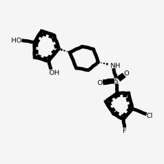 O=S(=O)(N[C@H]1CC[C@@H](c2ccc(O)cc2O)CC1)c1ccc(F)c(Cl)c1